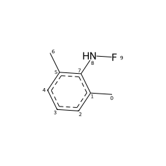 Cc1cccc(C)c1NF